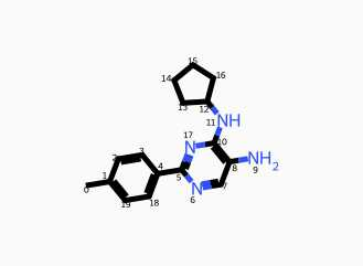 Cc1ccc(-c2ncc(N)c(NC3CCCC3)n2)cc1